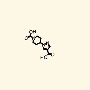 O=C(O)c1cnn(C2CCN(C(=O)O)CC2)c1